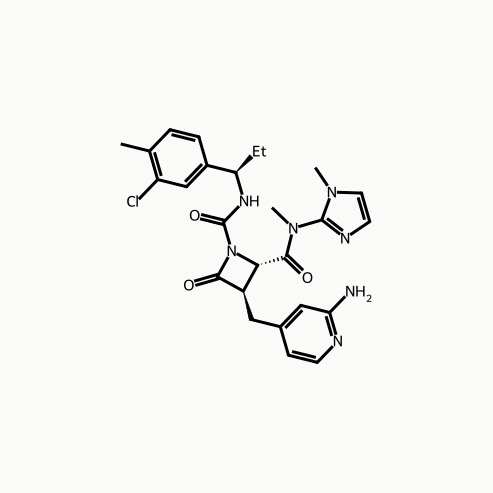 CC[C@@H](NC(=O)N1C(=O)[C@H](Cc2ccnc(N)c2)[C@H]1C(=O)N(C)c1nccn1C)c1ccc(C)c(Cl)c1